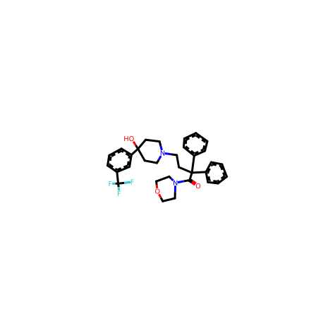 O=C(N1CCOCC1)C(CCN1CCC(O)(c2cccc(C(F)(F)F)c2)CC1)(c1ccccc1)c1ccccc1